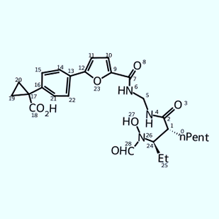 CCCCC[C@@H](C(=O)NCNC(=O)c1ccc(-c2ccc(C3(C(=O)O)CC3)cc2)o1)[C@@H](CC)N(O)C=O